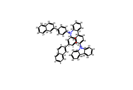 c1cc(-c2ccc3ccccc3c2)cc(N(c2ccc(-c3ccc4ccccc4c3)cc2)c2ccccc2-c2ccc(-n3c4ccccc4c4ccccc43)cc2)c1